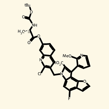 CCOC(=O)c1c(-c2cccnc2OC)c2c3occc3c(F)cc2n1Cc1cc2ccc(OC(=O)[C@H](C)NC(=O)OC(C)(C)C)cc2nc1Cl